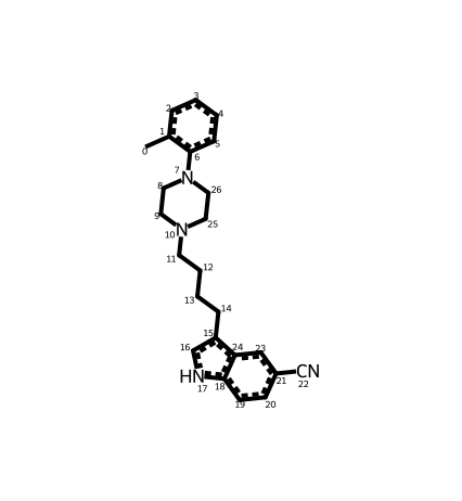 Cc1ccccc1N1CCN(CCCCc2c[nH]c3ccc(C#N)cc23)CC1